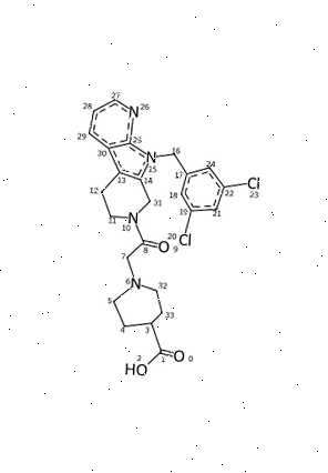 O=C(O)C1CCN(CC(=O)N2CCc3c(n(Cc4cc(Cl)cc(Cl)c4)c4ncccc34)C2)CC1